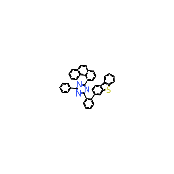 c1ccc(-c2nc(-c3ccccc3-c3ccc4c(c3)sc3ccccc34)nc(-c3cccc4ccc5ccccc5c34)n2)cc1